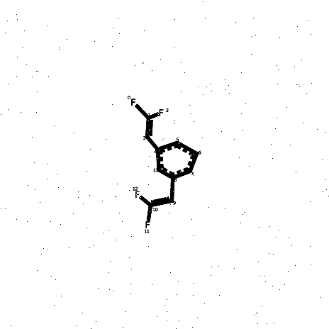 FC(F)=Cc1cccc(C=C(F)F)c1